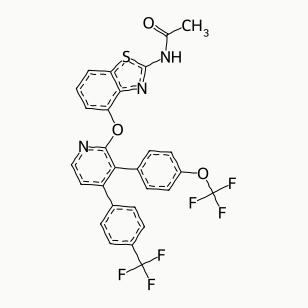 CC(=O)Nc1nc2c(Oc3nccc(-c4ccc(C(F)(F)F)cc4)c3-c3ccc(OC(F)(F)F)cc3)cccc2s1